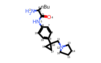 CCCCC(N)C(=O)Nc1ccc(C2(CN3CCCC3)CC2)cc1